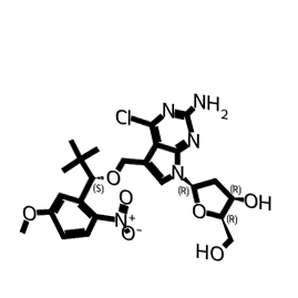 COc1ccc([N+](=O)[O-])c([C@@H](OCc2cn([C@H]3C[C@@H](O)[C@@H](CO)O3)c3nc(N)nc(Cl)c23)C(C)(C)C)c1